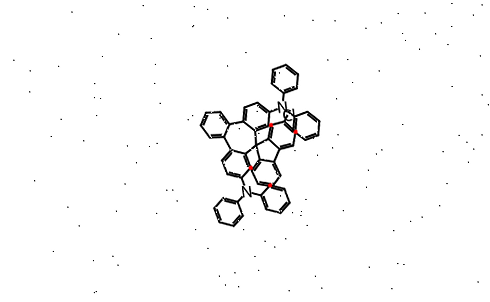 Clc1ccc2c(c1)C1(c3cc(N(c4ccccc4)c4ccccc4)ccc3-c3ccccc3-c3ccc(N(c4ccccc4)c4ccccc4)cc31)c1ccccc1-2